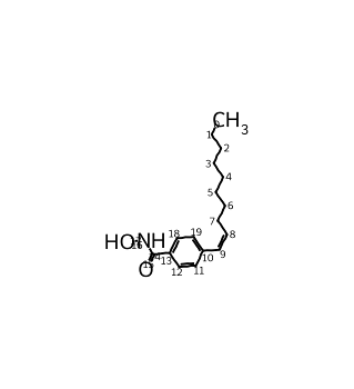 CCCCCCCC/C=C\c1ccc(C(=O)NO)cc1